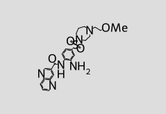 COCCN1CCCN(S(=O)(=O)c2ccc(NC(=O)c3cnc4cccnc4c3)c(N)c2)CC1